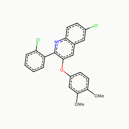 COc1ccc(Oc2cc3cc(Cl)ccc3nc2-c2ccccc2Cl)cc1OC